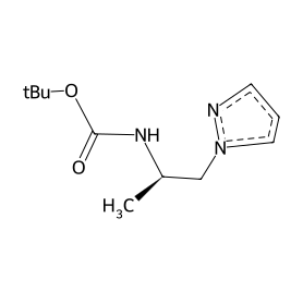 C[C@H](Cn1cccn1)NC(=O)OC(C)(C)C